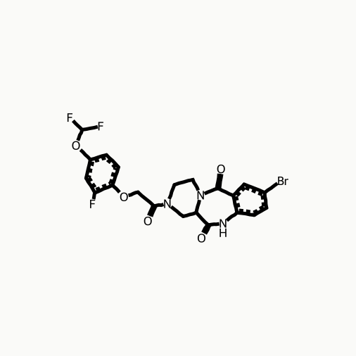 O=C1Nc2ccc(Br)cc2C(=O)N2CCN(C(=O)COc3ccc(OC(F)F)cc3F)CC12